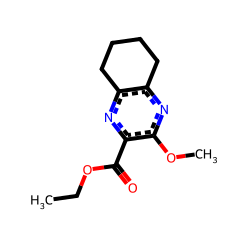 CCOC(=O)c1nc2c(nc1OC)CCCC2